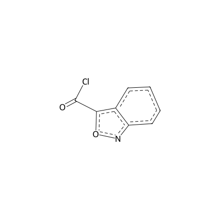 O=C(Cl)c1onc2ccccc12